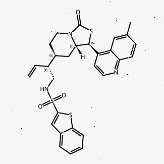 C=C[C@@H](CNS(=O)(=O)c1cc2ccccc2s1)[C@H]1CCN2C(=O)S[C@@H](c3ccnc4ccc(C)cc34)[C@@H]2C1